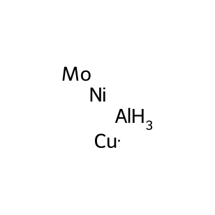 [AlH3].[Cu].[Mo].[Ni]